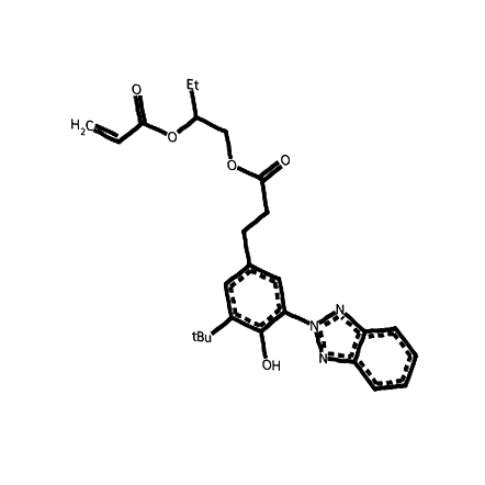 C=CC(=O)OC(CC)COC(=O)CCc1cc(-n2nc3ccccc3n2)c(O)c(C(C)(C)C)c1